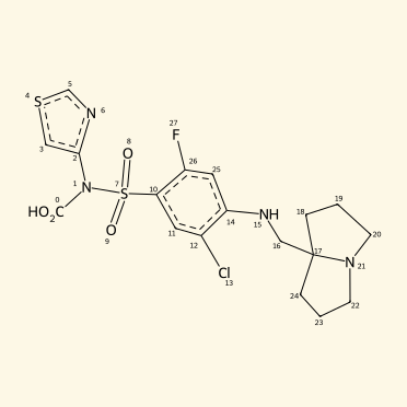 O=C(O)N(c1cscn1)S(=O)(=O)c1cc(Cl)c(NCC23CCCN2CCC3)cc1F